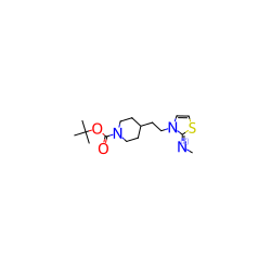 C/N=c1\sccn1CCC1CCN(C(=O)OC(C)(C)C)CC1